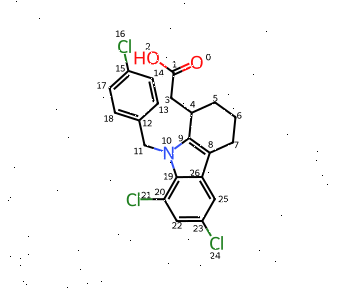 O=C(O)CC1CCCc2c1n(Cc1ccc(Cl)cc1)c1c(Cl)cc(Cl)cc21